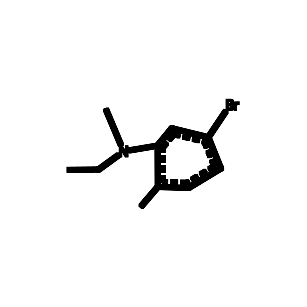 CCN(C)c1cc(Br)ccc1C